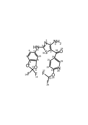 Nc1nc(Nc2ccc3c(c2)OC(F)(F)O3)sc1C(=O)c1ccc(OC(F)F)nc1